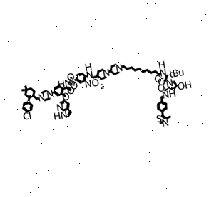 Cc1ncsc1-c1ccc(CNC(=O)[C@@H]2C[C@@H](O)CN2C(=O)[C@@H](NC(=O)CCCCCCCCCN2CCC(N3CCC(CNc4ccc(S(=O)(=O)NC(=O)c5ccc(N6CCN(CC7=C(c8ccc(Cl)cc8)CC(C)(C)CC7)CC6)cc5Oc5cnc6[nH]ccc6c5)cc4[N+](=O)[O-])CC3)CC2)C(C)(C)C)cc1